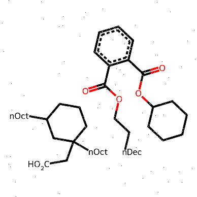 CCCCCCCCC1CCCC(CCCCCCCC)(CC(=O)O)C1.CCCCCCCCCCCCOC(=O)c1ccccc1C(=O)OC1CCCCC1